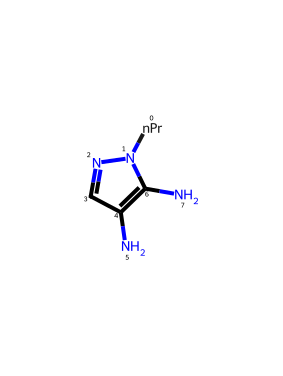 CCCn1ncc(N)c1N